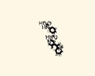 Cc1cnc(NC(=O)[C@H]2CCC[C@@H](NC(=O)O)C2)cc1-c1cnn2c1CCCC2